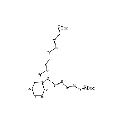 CCCCCCCCCCCCCCCCCC[N+]1(CCCCCCCCCCCCCCCC)CCCCC1